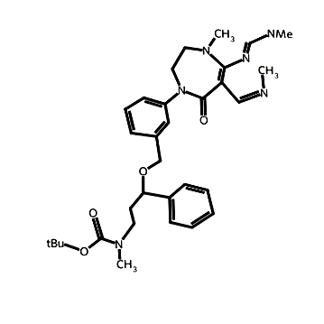 C/N=C\C1=C(/N=C/NC)N(C)CCN(c2cccc(COC(CCN(C)C(=O)OC(C)(C)C)c3ccccc3)c2)C1=O